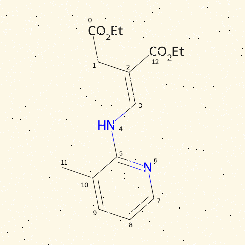 CCOC(=O)CC(=CNc1ncccc1C)C(=O)OCC